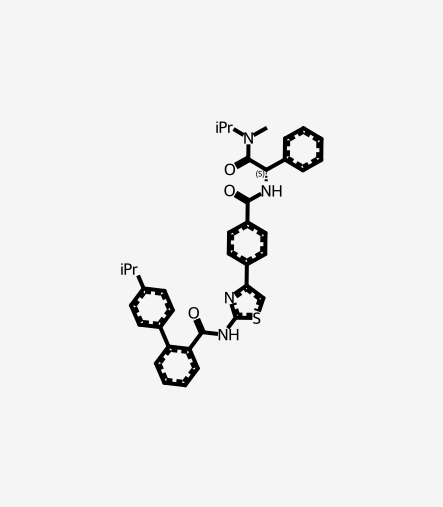 CC(C)c1ccc(-c2ccccc2C(=O)Nc2nc(-c3ccc(C(=O)N[C@H](C(=O)N(C)C(C)C)c4ccccc4)cc3)cs2)cc1